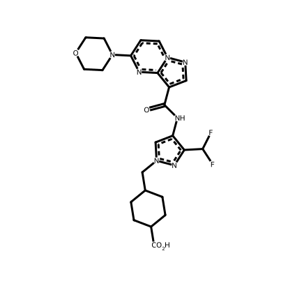 O=C(Nc1cn(CC2CCC(C(=O)O)CC2)nc1C(F)F)c1cnn2ccc(N3CCOCC3)nc12